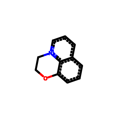 c1cc2c3c(c1)ccc[n+]3CCO2